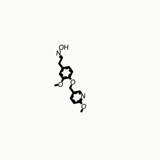 COc1ccc(COc2ccc(CC=NO)cc2OC)cn1